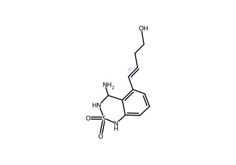 NC1NS(=O)(=O)Nc2cccc(/C=C/CCO)c21